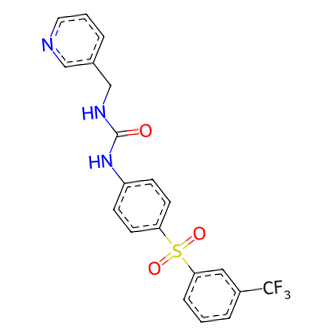 O=C(NCc1cccnc1)Nc1ccc(S(=O)(=O)c2cccc(C(F)(F)F)c2)cc1